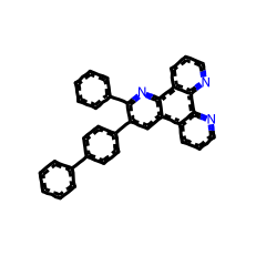 c1ccc(-c2ccc(-c3cc4c5cccnc5c5ncccc5c4nc3-c3ccccc3)cc2)cc1